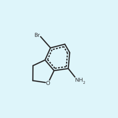 Nc1ccc(Br)c2c1OCC2